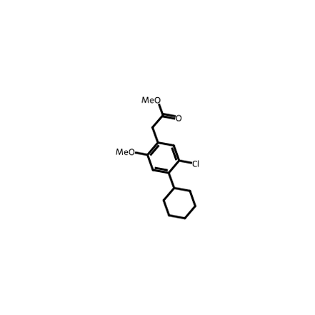 COC(=O)Cc1cc(Cl)c(C2CCCCC2)cc1OC